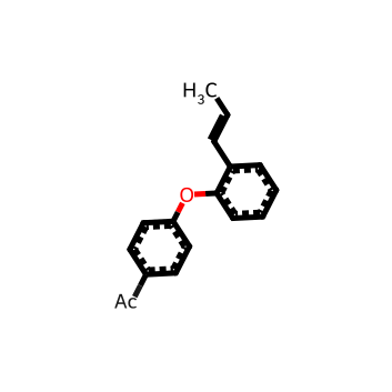 C/C=C/c1ccccc1Oc1ccc(C(C)=O)cc1